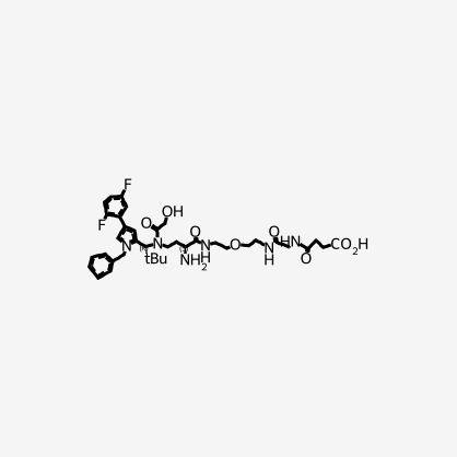 CC(C)(C)[C@H](c1cc(-c2cc(F)ccc2F)cn1Cc1ccccc1)N(CC[C@H](N)C(=O)NCCOCCNC(=O)CNC(=O)CCC(=O)O)C(=O)CO